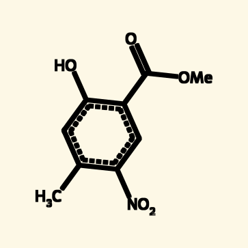 COC(=O)c1cc([N+](=O)[O-])c(C)cc1O